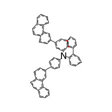 c1ccc(-c2ccccc2N(c2ccc(-c3ccc4ccc5ccccc5c4c3)cc2)c2cccc(-c3ccc4ccc5ccccc5c4c3)c2)cc1